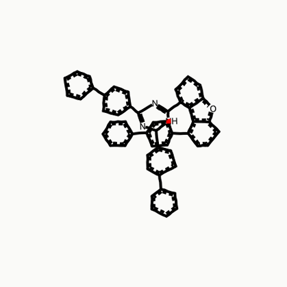 c1ccc(-c2ccc(C3=NC(c4ccc(-c5ccccc5)cc4)NC(c4cccc5oc6cccc(-c7ccc(-c8ccccc8)cc7)c6c45)=N3)cc2)cc1